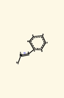 [CH2]/N=C/c1ccccc1